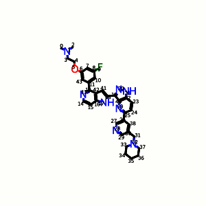 CN(C)CCOc1cc(F)cc(-c2nccc3[nH]c(-c4n[nH]c5ccc(-c6cncc(CN7CCCCC7)c6)nc45)cc23)c1